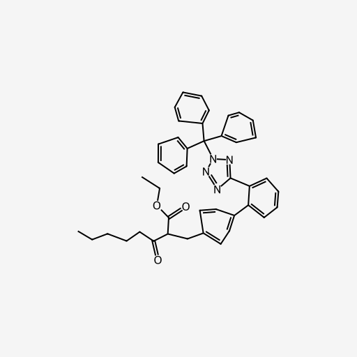 CCCCCC(=O)C(Cc1ccc(-c2ccccc2-c2nnn(C(c3ccccc3)(c3ccccc3)c3ccccc3)n2)cc1)C(=O)OCC